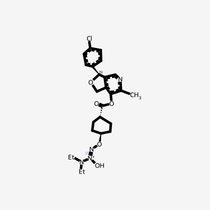 CCN(CC)/[N+](O)=N/O[C@H]1CC[C@H](C(=O)Oc2c(C)ncc3c2CO[C@H]3c2ccc(Cl)cc2)CC1